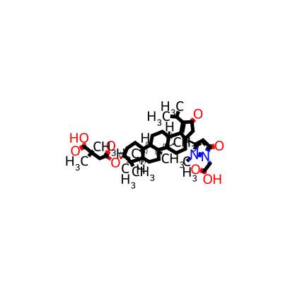 CC(C)C1=C2[C@H]3CC[C@@H]4[C@@]5(C)CC[C@H](OC(=O)CC(C)(C)C(=O)O)C(C)(C)[C@@H]5CC[C@@]4(C)[C@]3(C)CC[C@@]2(c2cc(=O)n(CC(=O)O)n2C)CC1=O